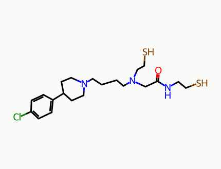 O=C(CN(CCS)CCCCN1CCC(c2ccc(Cl)cc2)CC1)NCCS